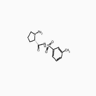 Cc1cccc(S(=O)(=O)NC(=O)[C@@H]2CCCN2P)c1